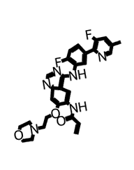 C=CC(=O)Nc1cc2c(Nc3cc(-c4ncc(C)cc4F)ccc3F)ncnc2cc1OCCN1CCOCC1